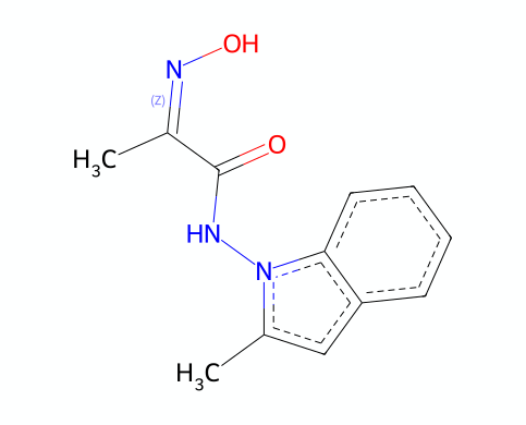 C/C(=N/O)C(=O)Nn1c(C)cc2ccccc21